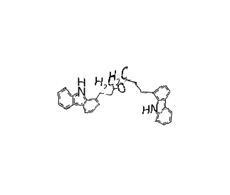 C=C(CCc1cccc2c1[nH]c1ccccc12)OC(=C)CCc1cccc2c1[nH]c1ccccc12